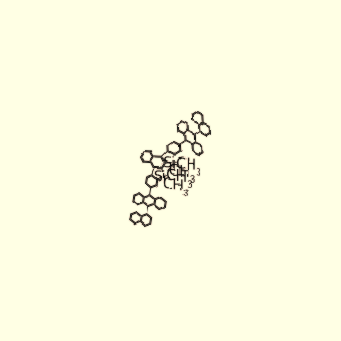 C[Si]1(C)c2cc(-c3c4ccccc4c(-c4cccc5ccccc45)c4ccccc34)ccc2-c2c1c1c(c3ccccc23)-c2ccc(-c3c4ccccc4c(-c4cccc5ccccc45)c4ccccc34)cc2[Si]1(C)C